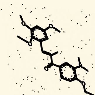 CCOc1ccc(C(=O)/C(C)=C/c2cc(OC)cc(OC)c2OC)cc1N(C)C